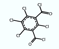 O=C(Cl)c1c(Cl)c(Cl)c(Cl)c(C(=O)Cl)c1Cl